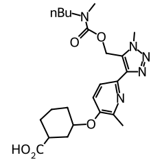 CCCCN(C)C(=O)OCc1c(-c2ccc(OC3CCCC(C(=O)O)C3)c(C)n2)nnn1C